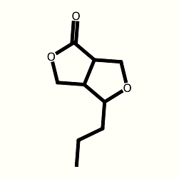 CCCC1OCC2C(=O)OCC12